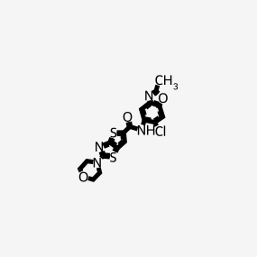 Cc1nc2cc(NC(=O)c3cc4sc(N5CCOCC5)nc4s3)c(Cl)cc2o1